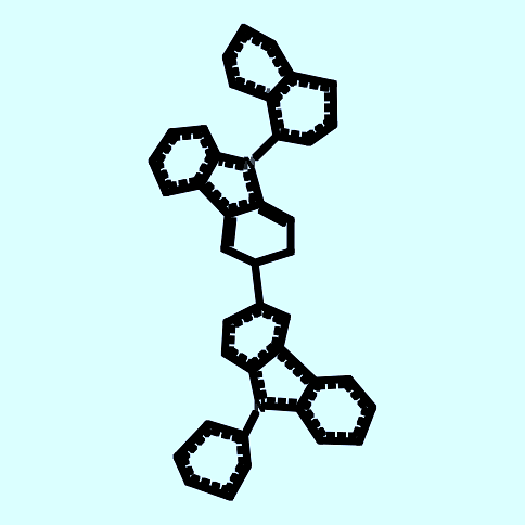 C1=c2c(n(-c3cccc4ccccc34)c3ccccc23)=CCC1c1ccc2c(c1)c1ccccc1n2-c1ccccc1